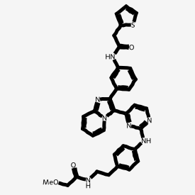 COCC(=O)NCCc1ccc(Nc2nccc(-c3c(-c4cccc(NC(=O)Cc5cccs5)c4)nc4ccccn34)n2)cc1